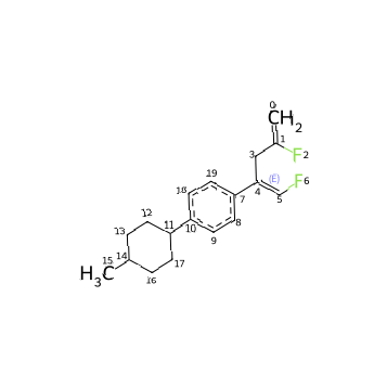 C=C(F)C/C(=C\F)c1ccc(C2CCC(C)CC2)cc1